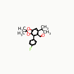 CC(C)c1cc2c(c(-c3ccc(F)cc3)c1C=O)OC(C)(C)O2